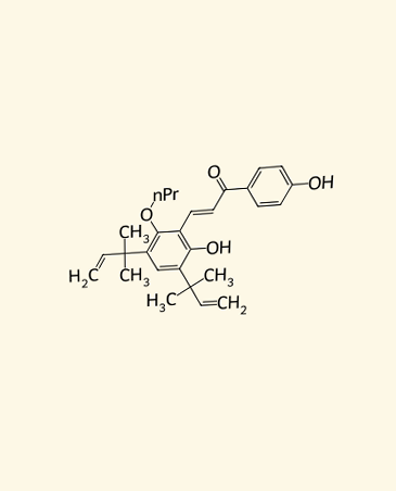 C=CC(C)(C)c1cc(C(C)(C)C=C)c(OCCC)c(C=CC(=O)c2ccc(O)cc2)c1O